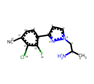 CC(N)Cn1ccc(-c2ccc(C#N)c(Cl)c2F)n1